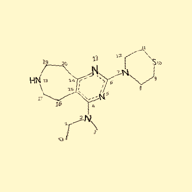 CCN(C)c1nc(N2CCSCC2)nc2c1CCNCC2